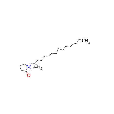 C=C[N+]1(CCCCCCCCCCCCCCCC)CCCC1=O